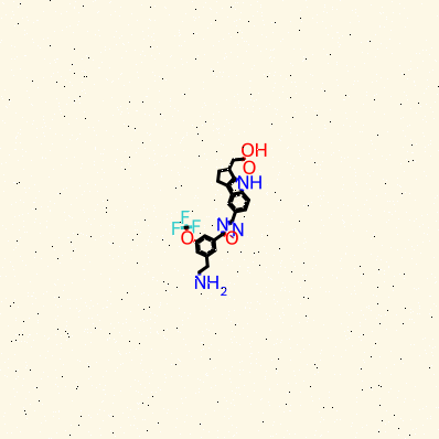 NCCc1cc(OC(F)(F)F)cc(-c2nc(-c3ccc4[nH]c5c(c4c3)CCC5CC(=O)O)no2)c1